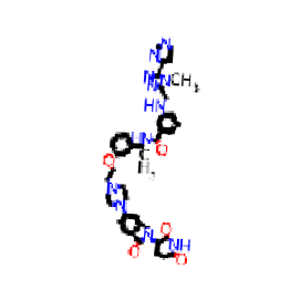 C[C@@H](NC(=O)c1cccc(NCc2nnc(-c3ccncn3)n2C)c1)c1cccc(OCCN2CCN(c3ccc4c(c3)CN(C3CCC(=O)NC3=O)C4=O)CC2)c1